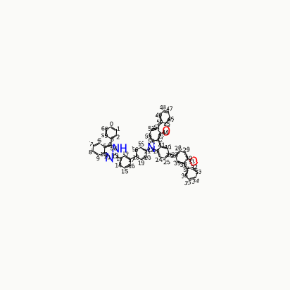 c1ccc(C2=c3ccccc3=NC(c3cccc(-c4ccc(-n5c6ccc(-c7ccc8oc9ccccc9c8c7)cc6c6c7oc8ccccc8c7ccc65)cc4)c3)N2)cc1